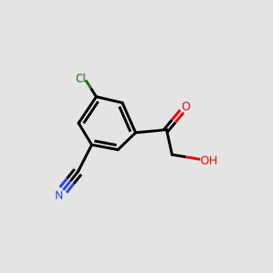 N#Cc1cc(Cl)cc(C(=O)CO)c1